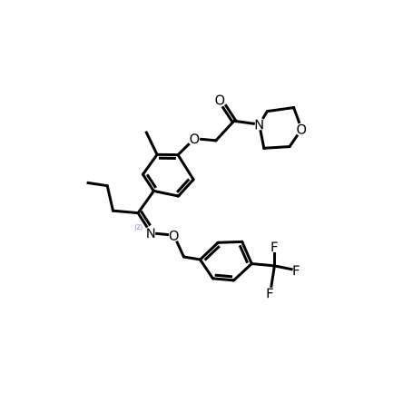 CCC/C(=N/OCc1ccc(C(F)(F)F)cc1)c1ccc(OCC(=O)N2CCOCC2)c(C)c1